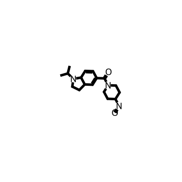 CC(C)N1CCC2C=C(C(=O)N3CCC(N=O)CC3)C=CC21